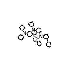 C1=CCC(c2cccc(N3c4cccc5c4B(c4ccc(N(c6ccccc6)c6ccccc6)cc4N5c4ccccc4)c4oc5ccccc5c43)c2)C=C1